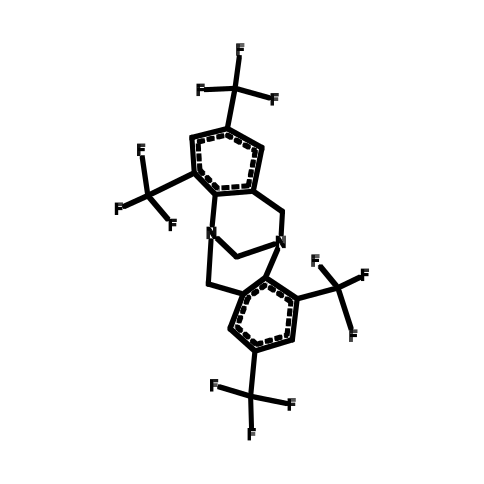 FC(F)(F)c1cc2c(c(C(F)(F)F)c1)N1Cc3cc(C(F)(F)F)cc(C(F)(F)F)c3N(C2)C1